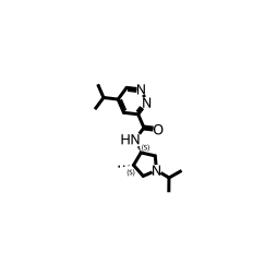 CC(C)c1cnnc(C(=O)N[C@@H]2CN(C(C)C)C[C@@H]2C)c1